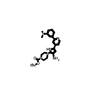 CN(C)c1cccc(-c2cc(-c3cc(N)c(N4CCN(C(=O)OC(C)(C)C)CC4)[nH]3)ccn2)c1